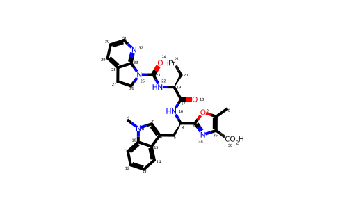 Cc1oc([C@@H](Cc2cn(C)c3ccccc23)NC(=O)[C@H](CC(C)C)NC(=O)N2CCc3cccnc32)nc1C(=O)O